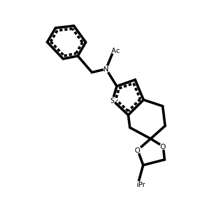 CC(=O)N(Cc1ccccc1)c1cc2c(s1)CC1(CC2)OCC(C(C)C)O1